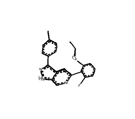 CCOc1cccc(F)c1-c1cc2c(-c3ccc(C)cc3)n[nH]c2cn1